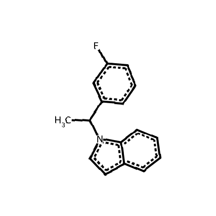 CC(c1cccc(F)c1)n1ccc2ccccc21